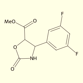 COC(=O)C1OC(=O)NC1c1cc(F)cc(F)c1